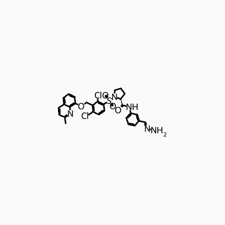 Cc1ccc2cccc(OCc3c(Cl)ccc(S(=O)(=O)N4CCC[C@H]4C(=O)Nc4cccc(C=NN)c4)c3Cl)c2n1